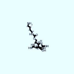 N=C1N[C@H]2C(COC(=O)NCCCCN)NC(=N)N3CCC(O)(O)C23N1